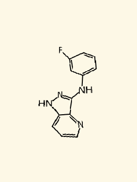 Fc1cccc(Nc2n[nH]c3cccnc23)c1